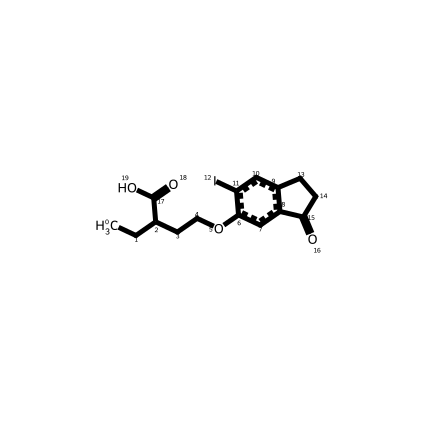 CCC(CCOc1cc2c(cc1I)CCC2=O)C(=O)O